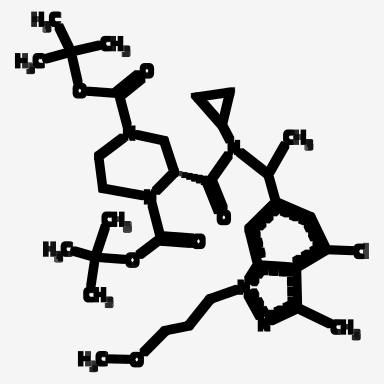 COCCCn1nc(C)c2c(Cl)cc(C(C)N(C(=O)[C@H]3CN(C(=O)OC(C)(C)C)CCN3C(=O)OC(C)(C)C)C3CC3)cc21